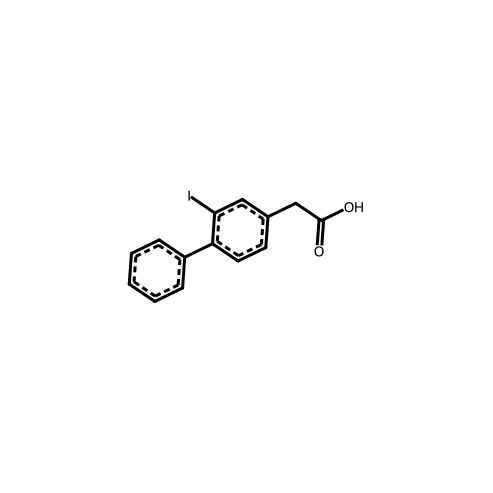 O=C(O)Cc1ccc(-c2ccccc2)c(I)c1